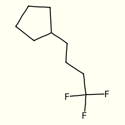 FC(F)(F)CCCC1CCCC1